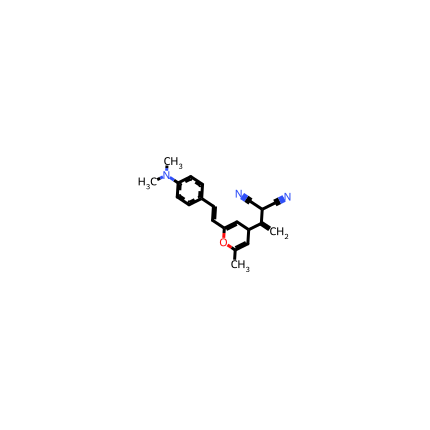 C=C(C(C#N)C#N)C1C=C(C)OC(C=Cc2ccc(N(C)C)cc2)=C1